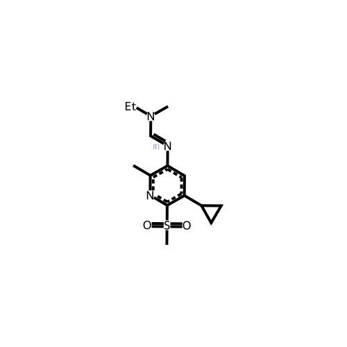 CCN(C)/C=N/c1cc(C2CC2)c(S(C)(=O)=O)nc1C